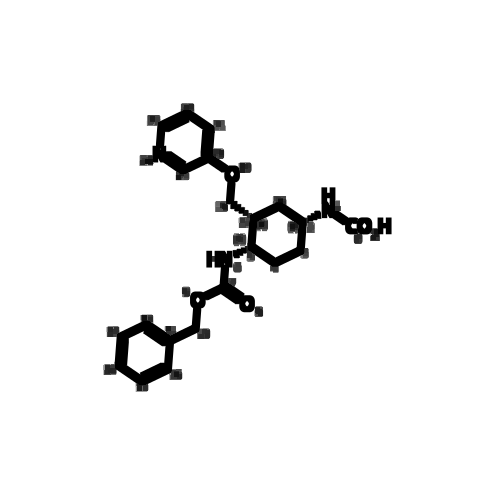 O=C(O)N[C@@H]1CC[C@H](NC(=O)OCc2ccccc2)[C@H](COc2cccnc2)C1